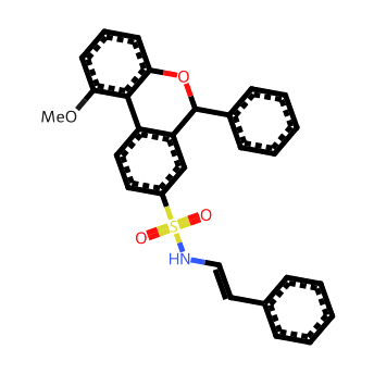 COc1cccc2c1-c1ccc(S(=O)(=O)N/C=C/c3ccccc3)cc1C(c1ccccc1)O2